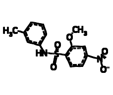 COc1cc([N+](=O)[O-])ccc1S(=O)(=O)Nc1cccc(C)c1